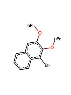 C[CH]c1c(OCCC)c(OCCC)cc2ccccc12